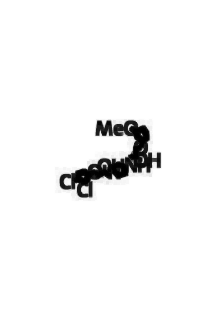 COc1cccc(OC[C@@H](O)CNC2CCN(C[C@H](O)COc3ccc(Cl)c(Cl)c3)CC2)c1